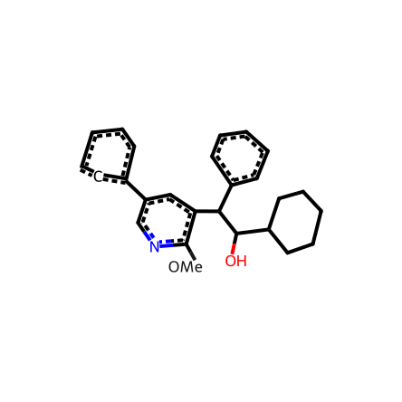 COc1ncc(-c2ccccc2)cc1C(c1ccccc1)C(O)C1CCCCC1